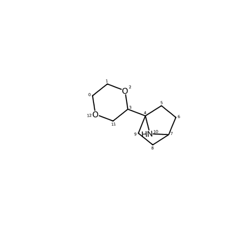 C1COC(C23CCC(CC2)N3)CO1